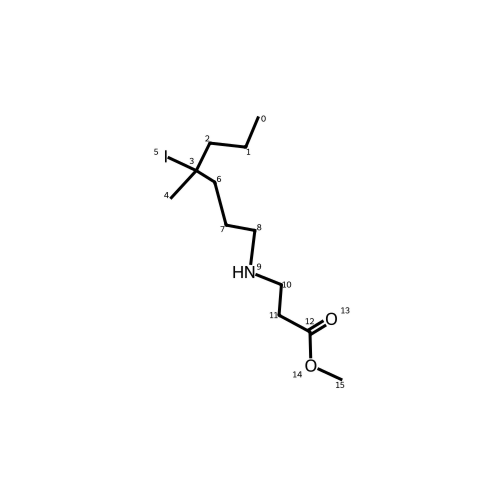 CCCC(C)(I)CCCNCCC(=O)OC